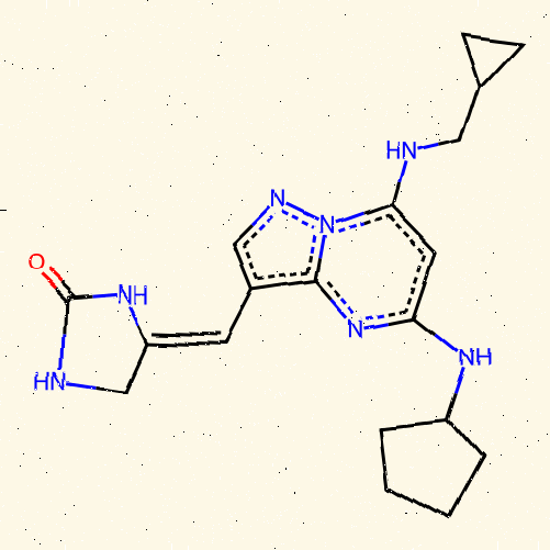 O=C1NC/C(=C/c2cnn3c(NCC4CC4)cc(NC4CCCC4)nc23)N1